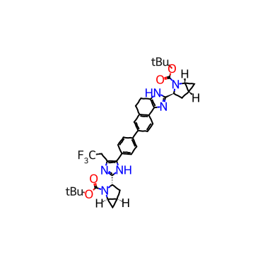 CC(C)(C)OC(=O)N1[C@@H]2C[C@@H]2C[C@H]1c1nc2c([nH]1)CCc1cc(-c3ccc(-c4[nH]c([C@@H]5C[C@H]6C[C@H]6N5C(=O)OC(C)(C)C)nc4CC(F)(F)F)cc3)ccc1-2